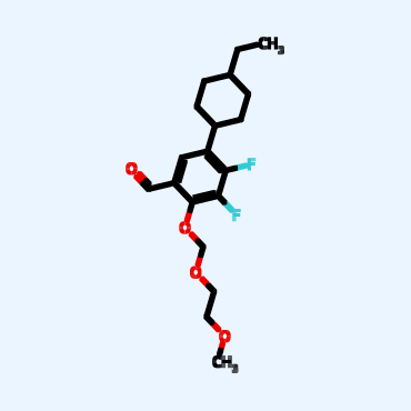 CCC1CCC(c2cc(C=O)c(OCOCCOC)c(F)c2F)CC1